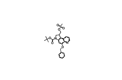 CC(C)(C)OC(=O)N1CC(COS(C)(=O)=O)c2c1cc(OCc1ccccc1)c1ncccc21